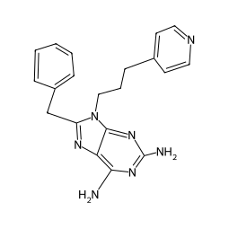 Nc1nc(N)c2nc(Cc3ccccc3)n(CCCc3ccncc3)c2n1